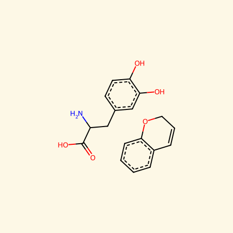 C1=Cc2ccccc2OC1.NC(Cc1ccc(O)c(O)c1)C(=O)O